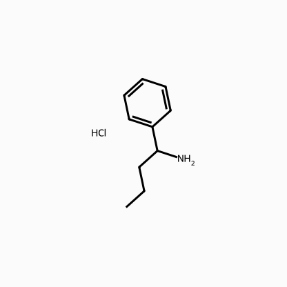 CCCC(N)c1ccccc1.Cl